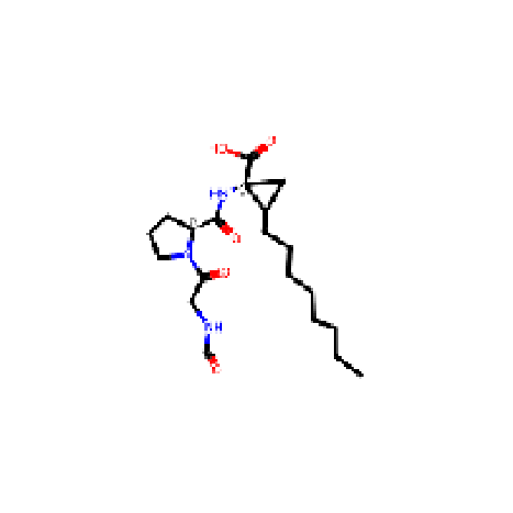 CCCCCCCCC1C[C@]1(NC(=O)[C@@H]1CCCN1C(=O)CNC=O)C(=O)O